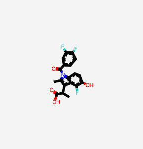 Cc1c(C(C)C(=O)O)c2c(F)c(O)ccc2n1C(=O)c1ccc(F)c(F)c1